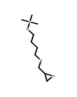 C[Si](C)(C)OCCCCOCC1CO1